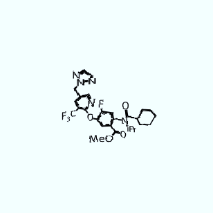 COC(=O)c1cc(Oc2ncc(Cn3nccn3)cc2C(F)(F)F)c(F)cc1N(C(=O)C1CCCCC1)C(C)C